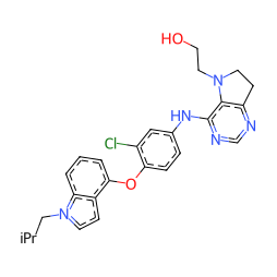 CC(C)Cn1ccc2c(Oc3ccc(Nc4ncnc5c4N(CCO)CC5)cc3Cl)cccc21